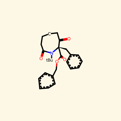 CC(C)(C)N1C(=O)CCCCC(=O)[C@]1(Cc1ccccc1)C(=O)OCc1ccccc1